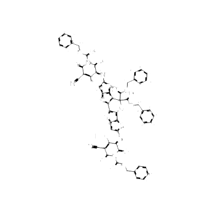 CC1=C(C#N)C(=O)N(C(=O)OCc2ccccc2)C(=O)/C1=N/c1cc2sc3c(c2s1)OC(C(=O)OCc1ccccc1)(C(=O)OCc1ccccc1)c1c-3sc2cc(/N=C3/C(=O)N(C(=O)OCc4ccccc4)C(=O)C(C#N)=C3C)sc12